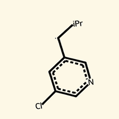 CC(C)[CH]c1cncc(Cl)c1